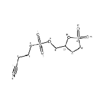 N#CCCOS(=O)(=O)OCC1CCS(=O)(=O)O1